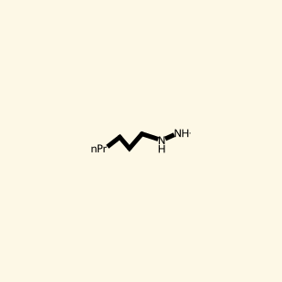 CCCCCCN[NH]